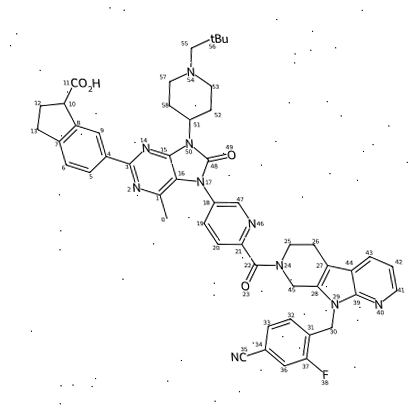 Cc1nc(-c2ccc3c(c2)C(C(=O)O)CC3)nc2c1n(-c1ccc(C(=O)N3CCc4c(n(Cc5ccc(C#N)cc5F)c5ncccc45)C3)nc1)c(=O)n2C1CCN(CC(C)(C)C)CC1